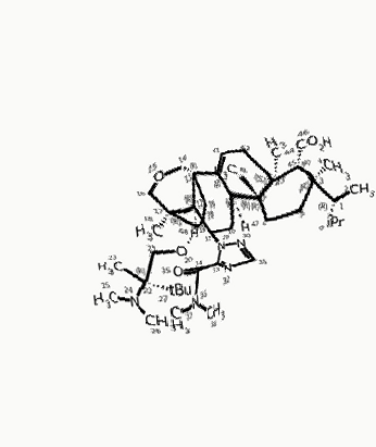 CC(C)[C@@H](C)[C@@]1(C)CC[C@]2(C)[C@H]3CC[C@@H]4[C@@]5(COC[C@]4(C)[C@@H](OC[C@](C)(N(C)C)C(C)(C)C)[C@H](n4ncnc4C(=O)N(C)C)C5)C3=CC[C@@]2(C)[C@@H]1C(=O)O